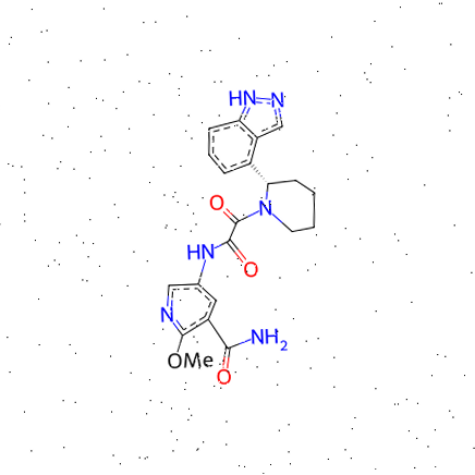 COc1ncc(NC(=O)C(=O)N2CCCC[C@H]2c2cccc3[nH]ncc23)cc1C(N)=O